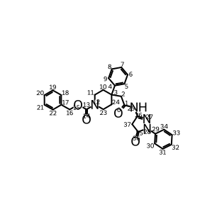 O=C(CC1(c2ccccc2)CCN(C(=O)OCc2ccccc2)CC1)NC1=NN(c2ccccc2)C(=O)C1